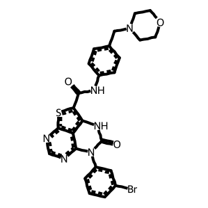 O=C(Nc1ccc(CN2CCOCC2)cc1)c1sc2ncnc3c2c1NC(=O)N3c1cccc(Br)c1